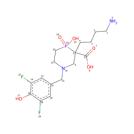 NCCCCC1(C(=O)O)CN(Cc2cc(F)c(O)c(F)c2)CCP1(=O)O